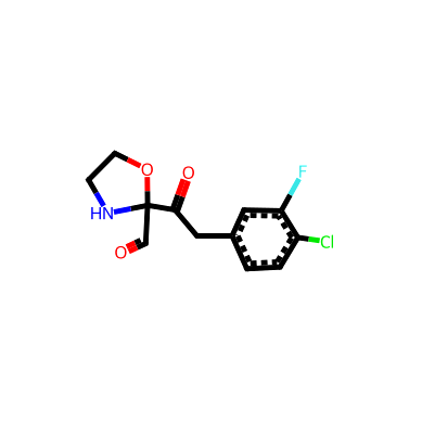 O=CC1(C(=O)Cc2ccc(Cl)c(F)c2)NCCO1